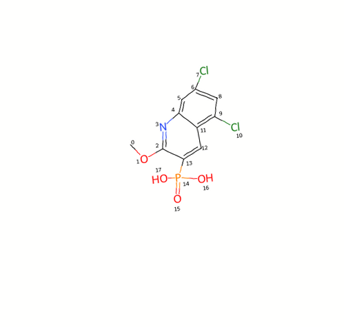 COc1nc2cc(Cl)cc(Cl)c2cc1P(=O)(O)O